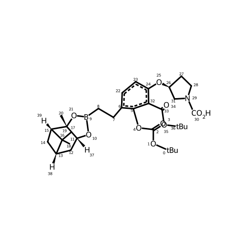 CC(C)(C)OC(=O)Oc1c(CCB2O[C@@H]3C[C@@H]4C[C@@H](C4(C)C)[C@]3(C)O2)ccc(O[C@H]2CCN(C(=O)O)C2)c1C(=O)OC(C)(C)C